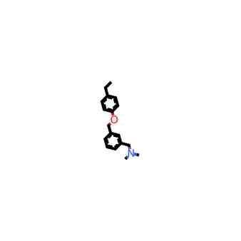 CCc1ccc(OCc2cccc(CN(C)C)c2)cc1